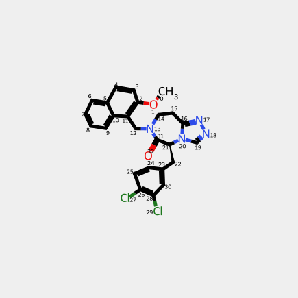 COc1ccc2ccccc2c1CN1CCc2nncn2[C@@H](Cc2ccc(Cl)c(Cl)c2)C1=O